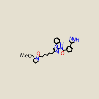 COC[C@@H]1CCCN1C(=O)CCCCCc1cn(-c2ccccc2)c(NC(=O)c2cccc(-c3cn[nH]c3)c2)n1